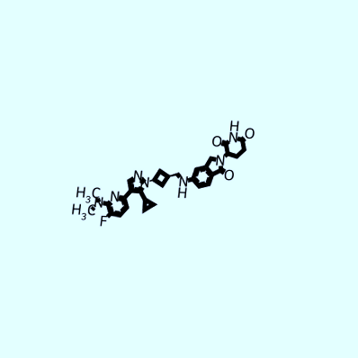 CN(C)c1nc(-c2cnn([C@H]3C[C@H](CNc4ccc5c(c4)CN(C4CCC(=O)NC4=O)C5=O)C3)c2C2CC2)ccc1F